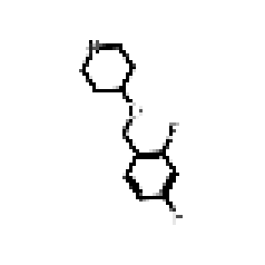 Fc1ccc(COC2CC[N]CC2)c(F)c1